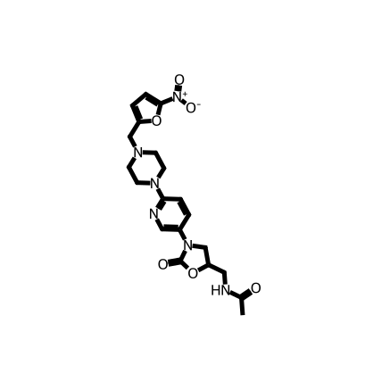 CC(=O)NCC1CN(c2ccc(N3CCN(Cc4ccc([N+](=O)[O-])o4)CC3)nc2)C(=O)O1